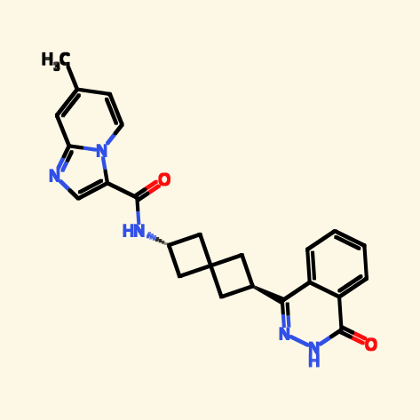 Cc1ccn2c(C(=O)N[C@H]3CC4(C3)C[C@H](c3n[nH]c(=O)c5ccccc53)C4)cnc2c1